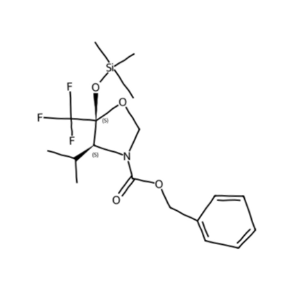 CC(C)[C@@H]1N(C(=O)OCc2ccccc2)CO[C@@]1(O[Si](C)(C)C)C(F)(F)F